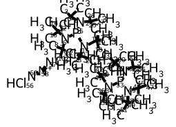 CC(C)(C)N(P(N(C(C)(C)C)C(C)(C)C)N(C(C)(C)C)C(C)(C)C)C(C)(C)C.CC(C)(C)N([PH+](N(C(C)(C)C)C(C)(C)C)N(C(C)(C)C)C(C)(C)C)C(C)(C)C.Cl.[N-]=[N+]=[N-]